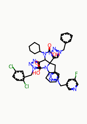 O=C(O)N(C1CCCCC1)C(c1cn(Cc2cc(Cl)ccc2Cl)nn1)C(Cc1cn(Cc2cncc(F)c2)nn1)(c1cn(Cc2ccccc2)nn1)N(C(=O)O)C1CCCCC1